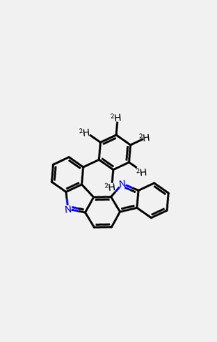 [2H]c1c([2H])c([2H])c(-c2cccc3c2-c2c4c(ccc2=N3)=c2ccccc2=N4)c([2H])c1[2H]